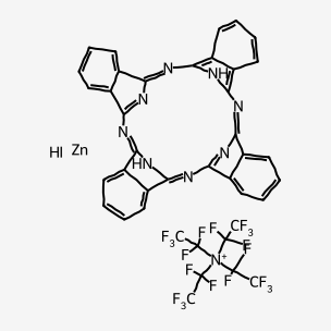 FC(F)(F)C(F)(F)[N+](C(F)(F)C(F)(F)F)(C(F)(F)C(F)(F)F)C(F)(F)C(F)(F)F.I.[Zn].c1ccc2c(c1)-c1nc-2nc2[nH]c(nc3nc(nc4[nH]c(n1)c1ccccc41)-c1ccccc1-3)c1ccccc21